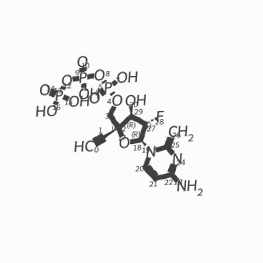 C#C[C@]1(COP(=O)(O)OP(=O)(O)OP(=O)(O)O)O[C@@H](N2C=CC(N)=NC2=C)[C@@H](F)[C@@H]1O